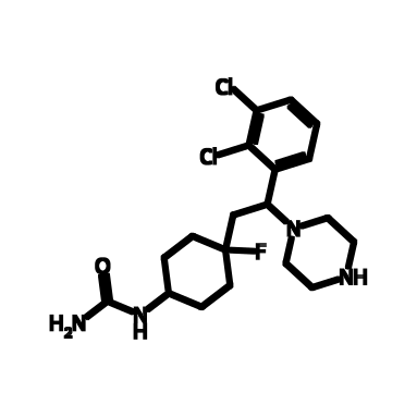 NC(=O)NC1CCC(F)(CC(c2cccc(Cl)c2Cl)N2CCNCC2)CC1